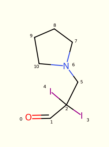 O=CC(I)(I)CN1CCCC1